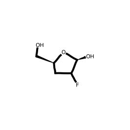 OC[C@@H]1CC(F)[C@H](O)O1